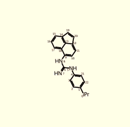 CC(C)c1ccc(NC(=N)Nc2ccc3c4c(cccc24)C=C3)cc1